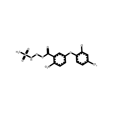 CS(=O)(=O)NOOC(=O)c1cc(Oc2ccc(C(F)(F)F)cc2Cl)ccc1[N+](=O)[O-]